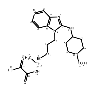 CCOCCn1c(NC2CCN(C(=O)O)CC2)nc2cnccc21.O=C(O)C(=O)O.[CH2]C